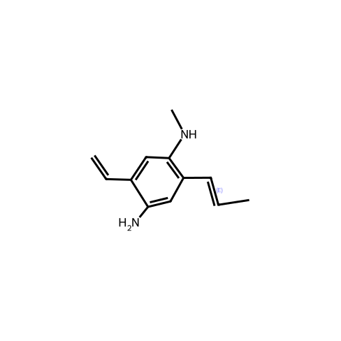 C=Cc1cc(NC)c(/C=C/C)cc1N